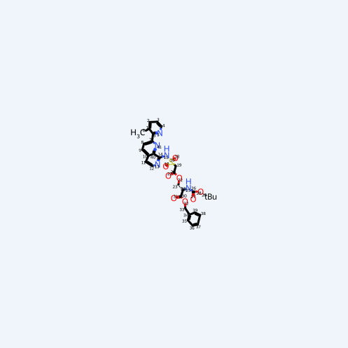 Cc1cccnc1-c1ccc2ccnc(NS(=O)(=O)CC(=O)OC[C@H](NC(=O)OC(C)(C)C)C(=O)OCc3ccccc3)c2n1